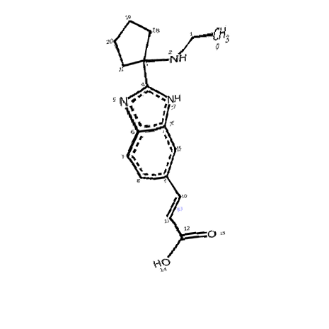 CCNC1(c2nc3ccc(/C=C/C(=O)O)cc3[nH]2)CCCC1